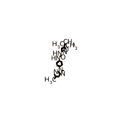 Cc1cnc2c(c1)ncn2-c1ccc(NC(=O)Nc2cc(C(C)(C)C)on2)cc1